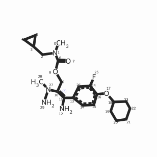 CN(CC1CC1)C(=O)OC/C(=C(/N)c1ccc(OC2CCCCC2)c(F)c1)N(C)N